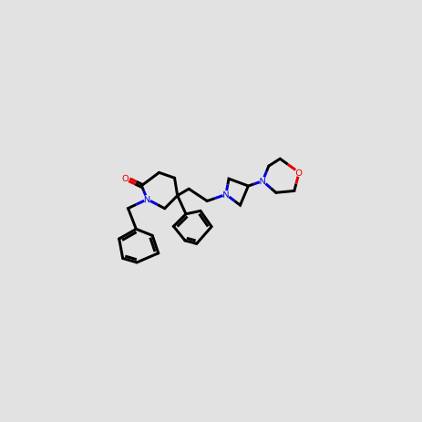 O=C1CCC(CCN2CC(N3CCOCC3)C2)(c2ccccc2)CN1Cc1ccccc1